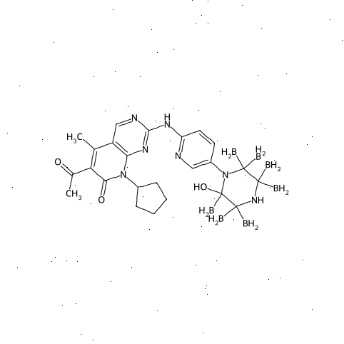 BC1(B)NC(B)(B)C(B)(O)N(c2ccc(Nc3ncc4c(C)c(C(C)=O)c(=O)n(C5CCCC5)c4n3)nc2)C1(B)B